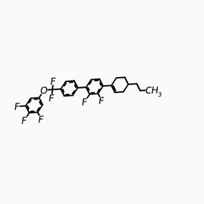 CCCC1CC=C(c2ccc(-c3ccc(C(F)(F)Oc4cc(F)c(F)c(F)c4)cc3)c(F)c2F)CC1